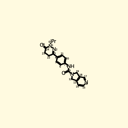 CC(C)N1N=C(c2ccc(NC(=O)N3Cc4ccncc4C3)cc2)CCC1=O